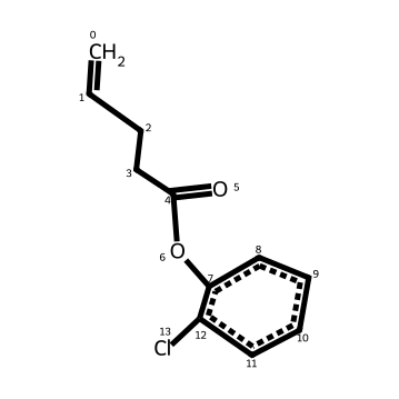 C=CCCC(=O)Oc1ccccc1Cl